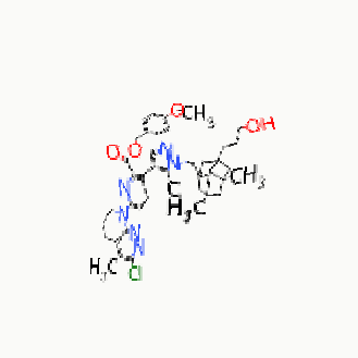 COc1ccc(COC(=O)c2nc(N3CCCc4c3nnc(Cl)c4C)ccc2-c2cnn(CC34CC5(C)CC(C)(CC(CCCO)(C5)C3)C4)c2C)cc1